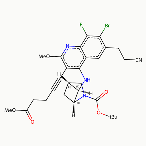 COC(=O)CCC#Cc1c(OC)nc2c(F)c(Br)c(CCC#N)cc2c1N[C@@H]1[C@@H]2C[C@H]1N(C(=O)OC(C)(C)C)C2